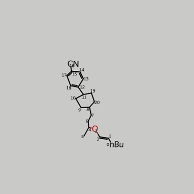 CCCC/C=C/OC(C)CCC1CCC(c2ccc(C#N)cc2)CC1